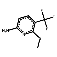 CSc1nc(N)ccc1C(F)(F)F